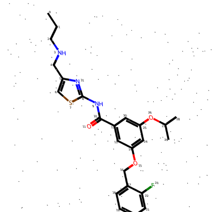 CCCNCc1csc(NC(=O)c2cc(OCc3ccccc3F)cc(OC(C)C)c2)n1